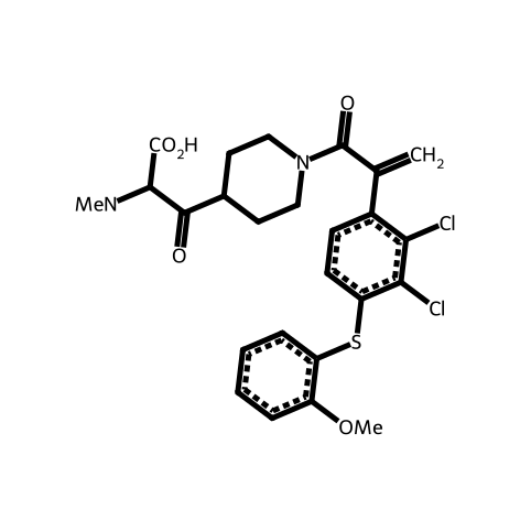 C=C(C(=O)N1CCC(C(=O)C(NC)C(=O)O)CC1)c1ccc(Sc2ccccc2OC)c(Cl)c1Cl